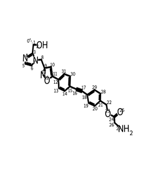 C[C@H](O)c1nccn1Cc1cc(-c2ccc(C#Cc3ccc(COC(=O)CN)cc3)cc2)on1